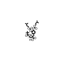 CC(C)CCOC(=O)Oc1ccc(CC(N)(C[C@H](C)OC(=O)C(C)(C)C)C(=O)O)cc1OC(=O)OCCC(C)C